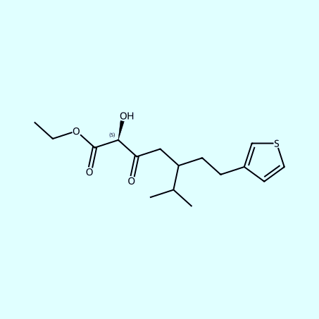 CCOC(=O)[C@@H](O)C(=O)CC(CCc1ccsc1)C(C)C